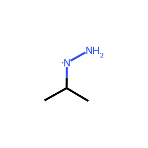 CC(C)[N]N